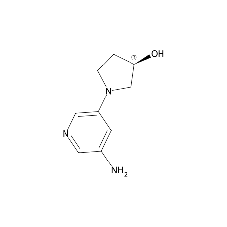 Nc1cncc(N2CC[C@@H](O)C2)c1